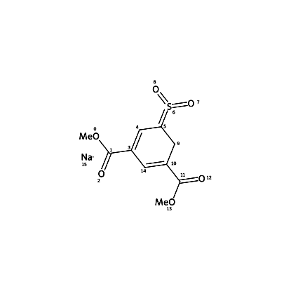 COC(=O)C1=CC(=S(=O)=O)CC(C(=O)OC)=C1.[Na]